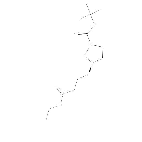 CCOC(=O)CCO[C@@H]1CCN(C(=O)OC(C)(C)C)C1